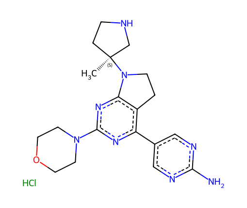 C[C@]1(N2CCc3c(-c4cnc(N)nc4)nc(N4CCOCC4)nc32)CCNC1.Cl